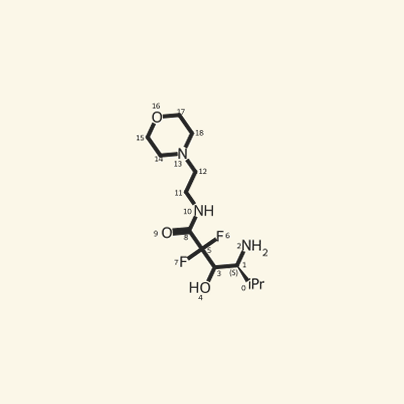 CC(C)[C@H](N)C(O)C(F)(F)C(=O)NCCN1CCOCC1